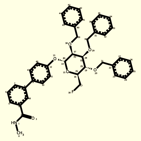 CNC(=O)c1cccc(-c2ccc(O[C@H]3O[C@H](CF)[C@@H](OCc4ccccc4)[C@H](OCc4ccccc4)[C@@H]3OCc3ccccc3)cc2)c1